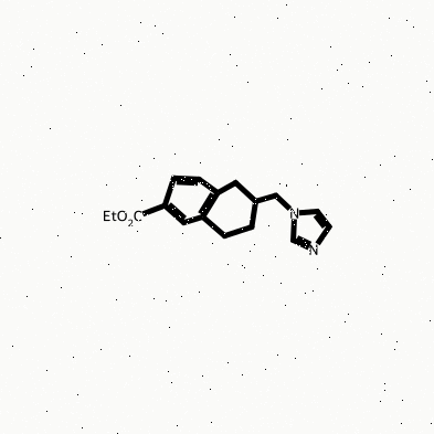 CCOC(=O)c1ccc2c(c1)CCC(Cn1ccnc1)C2